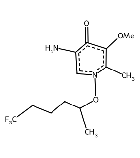 COc1c(C)n(OC(C)CCCC(F)(F)F)cc(N)c1=O